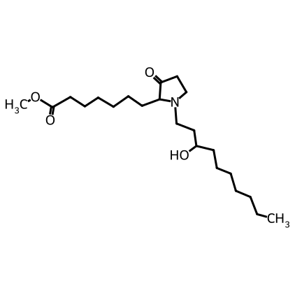 CCCCCCCC(O)CCN1CCC(=O)C1CCCCCCC(=O)OC